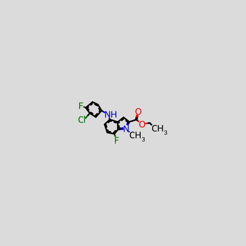 CCOC(=O)c1cc2c(Nc3ccc(F)c(Cl)c3)ccc(F)c2n1C